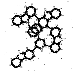 c1ccc(-c2cc(-c3ccc4c(c3)oc3ccccc34)nc(-c3cccc4oc5ccc(-c6ccc(-c7cccc8c9ccccc9n(-c9ccccc9)c78)c7oc8ccccc8c67)cc5c34)c2)cc1